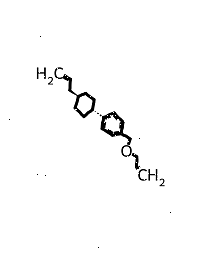 C=CCOCc1ccc([C@H]2CC[C@H](CC=C)CC2)cc1